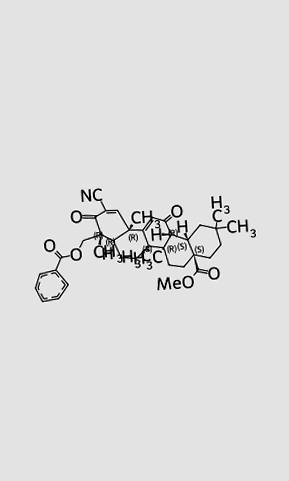 COC(=O)[C@]12CCC(C)(C)C[C@H]1[C@H]1C(=O)C=C3[C@@]4(C)C=C(C#N)C(=O)[C@@](C)(COC(=O)c5ccccc5)[C@@H]4CC[C@@]3(C)[C@]1(C)CC2